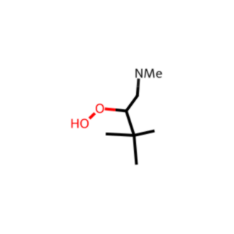 CNCC(OO)C(C)(C)C